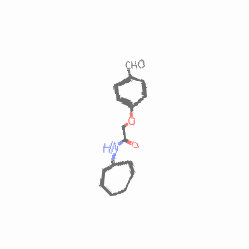 O=Cc1ccc(OCC(=O)NC2CCCCCC2)cc1